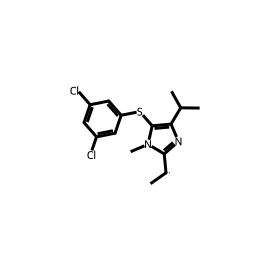 C[CH]c1nc(C(C)C)c(Sc2cc(Cl)cc(Cl)c2)n1C